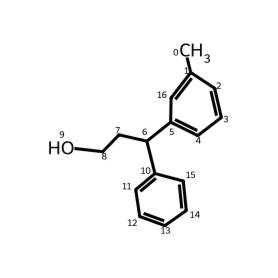 Cc1cccc(C(CCO)c2ccccc2)c1